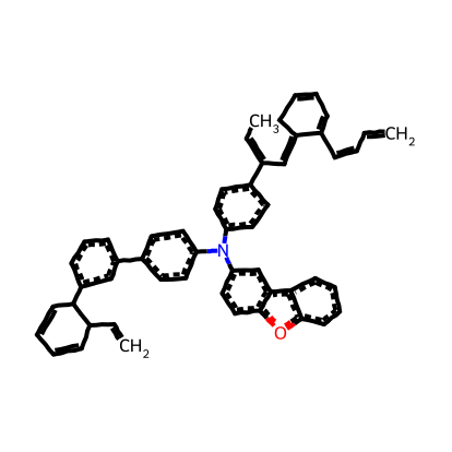 C=C/C=C\C1=CC=CC/C1=C\C(=C/C)c1ccc(N(c2ccc(-c3cccc(C4C=CC=CC4C=C)c3)cc2)c2ccc3oc4ccccc4c3c2)cc1